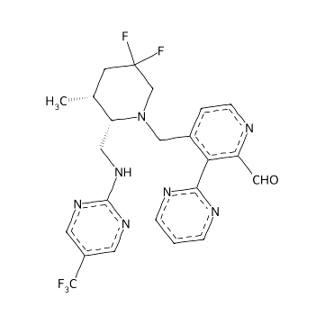 C[C@@H]1CC(F)(F)CN(Cc2ccnc(C=O)c2-c2ncccn2)[C@@H]1CNc1ncc(C(F)(F)F)cn1